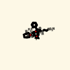 O=C(NCCS(=O)(=O)O)c1cc(F)c2nc(N3C4CC[C@H]3CC(OCc3c(-c5ccccc5C(F)(F)F)noc3C3CC3)C4)sc2c1